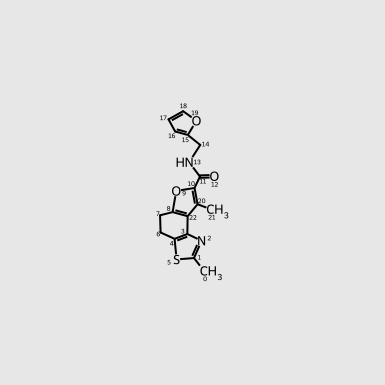 Cc1nc2c(s1)CCc1oc(C(=O)NCc3ccco3)c(C)c1-2